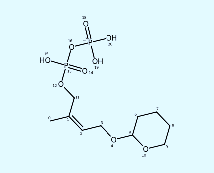 CC(=CCOC1CCCCO1)COP(=O)(O)OP(=O)(O)O